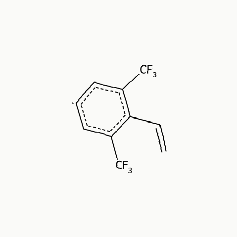 C=Cc1c(C(F)(F)F)c[c]cc1C(F)(F)F